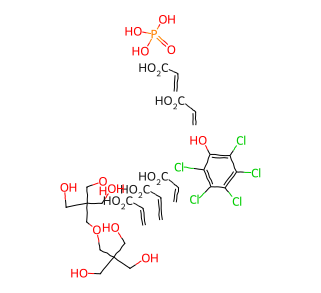 C=CC(=O)O.C=CC(=O)O.C=CC(=O)O.C=CC(=O)O.C=CC(=O)O.O=P(O)(O)O.OCC(CO)(CO)COCC(CO)(CO)CO.Oc1c(Cl)c(Cl)c(Cl)c(Cl)c1Cl